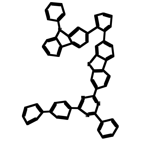 c1ccc(-c2ccc(-c3nc(-c4ccccc4)nc(-c4ccc5c(c4)sc4cc(-c6ccccc6-c6ccc7c8ccccc8n(-c8ccccc8)c7c6)ccc45)n3)cc2)cc1